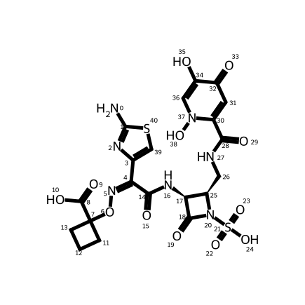 Nc1nc(/C(=N/OC2(C(=O)O)CCC2)C(=O)N[C@@H]2C(=O)N(S(=O)(=O)O)[C@@H]2CNC(=O)c2cc(=O)c(O)cn2O)cs1